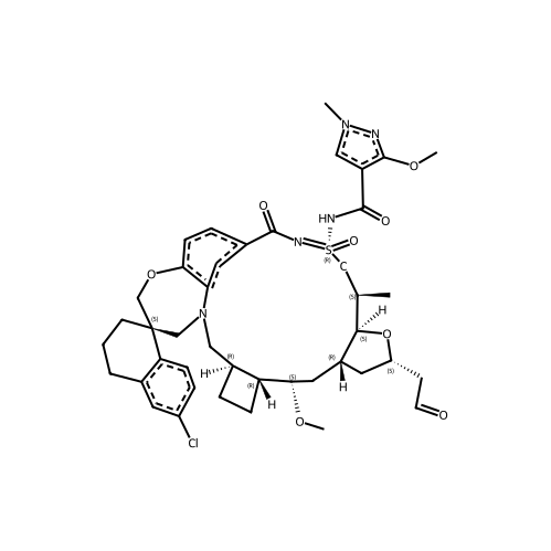 COc1nn(C)cc1C(=O)N[S@@]1(=O)=NC(=O)c2ccc3c(c2)N(C[C@@H]2CC[C@H]2[C@@H](OC)C[C@H]2C[C@@H](CC=O)O[C@@H]2[C@H](C)C1)C[C@@]1(CCCc2cc(Cl)ccc21)CO3